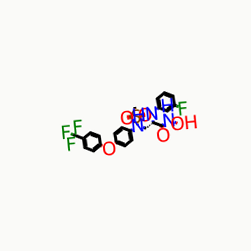 CS(=O)(=O)N(C[C@H](Nc1cccc(F)c1)C(=O)NO)c1ccc(Oc2ccc(C(F)(F)F)cc2)cc1